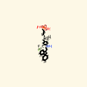 O=P(O)(O)CCC[AsH]Cc1ccc(NCCCCC2(c3ccc(F)cc3)CCCCC2)c(C(F)(F)F)c1